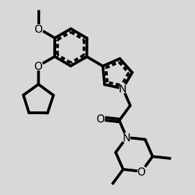 COc1ccc(-c2ccn(CC(=O)N3CC(C)OC(C)C3)c2)cc1OC1CCCC1